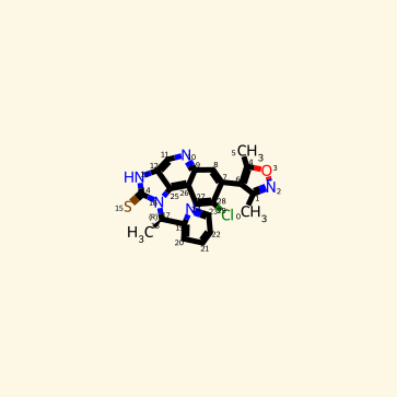 Cc1noc(C)c1-c1cc2ncc3[nH]c(=S)n([C@H](C)c4ccccn4)c3c2cc1Cl